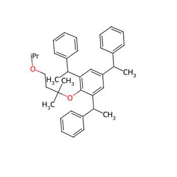 CC(C)OCCC(C)(C)Oc1c(C(C)c2ccccc2)cc(C(C)c2ccccc2)cc1C(C)c1ccccc1